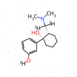 [2H]Oc1cccc([C@]2(O)CCCC[C@H]2C([2H])([2H])N(C)C)c1